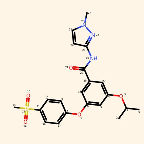 CC(C)Oc1cc(Oc2ccc(S(C)(=O)=O)cc2)cc(C(=O)Nc2ccn(C)n2)c1